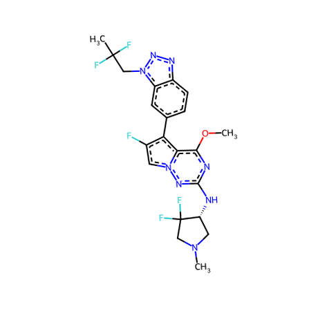 COc1nc(N[C@@H]2CN(C)CC2(F)F)nn2cc(F)c(-c3ccc4nnn(CC(C)(F)F)c4c3)c12